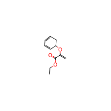 C=C(OC1C=CC=CC1)C(=O)OCC